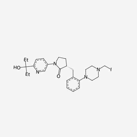 CCC(O)(CC)c1ccc(N2CC[C@H](Cc3ccccc3N3CCN(CI)CC3)C2=O)cn1